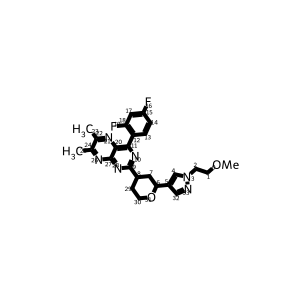 COCCn1cc(C2CC(c3nc(-c4ccc(F)cc4F)c4nc(C)c(C)nc4n3)CCO2)cn1